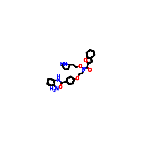 Nc1ccccc1NC(=O)c1ccc(OCCN(OCCC2CCCN2)C(=O)c2cc3ccccc3o2)cc1